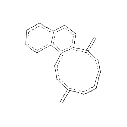 C=c1ccccc(=C)c2ccc3ccccc3c2cc1